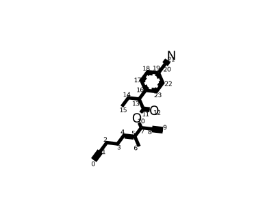 C#CCCC=C(C)C(C#C)OC(=O)C(CC)c1ccc(C#N)cc1